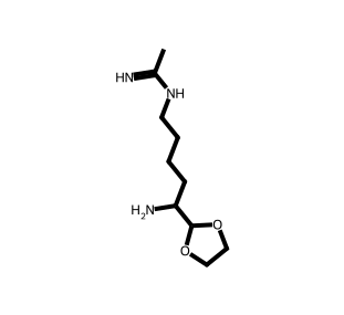 CC(=N)NCCCCC(N)C1OCCO1